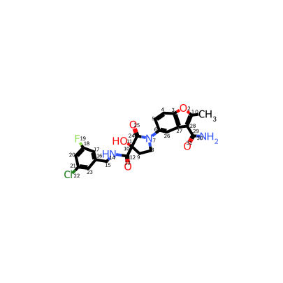 Cc1oc2ccc(N3CCC(O)(C(=O)NCc4cc(F)cc(Cl)c4)C3=O)cc2c1C(N)=O